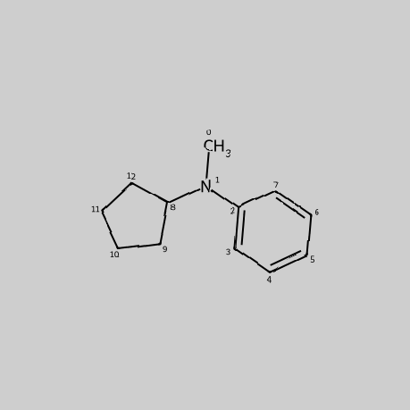 CN(c1ccccc1)C1CCCC1